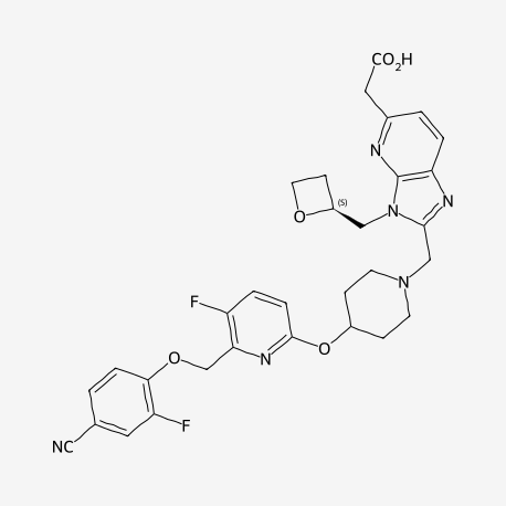 N#Cc1ccc(OCc2nc(OC3CCN(Cc4nc5ccc(CC(=O)O)nc5n4C[C@@H]4CCO4)CC3)ccc2F)c(F)c1